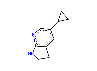 c1nc2c(cc1C1CC1)CCN2